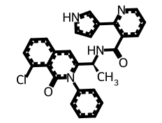 C[C@H](NC(=O)c1cccnc1-c1cc[nH]c1)c1cc2cccc(Cl)c2c(=O)n1-c1ccccc1